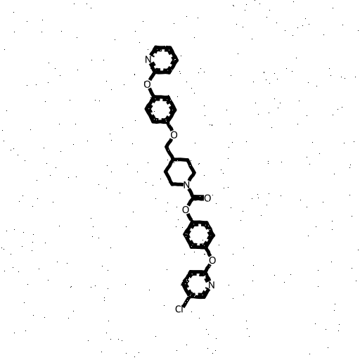 O=C(Oc1ccc(Oc2ccc(Cl)cn2)cc1)N1CCC(COc2ccc(Oc3ccccn3)cc2)CC1